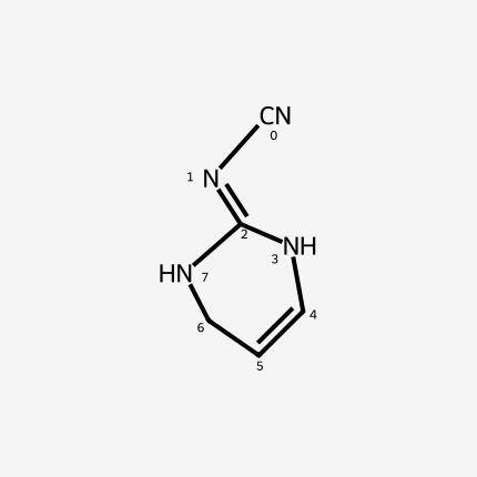 N#CN=C1NC=CCN1